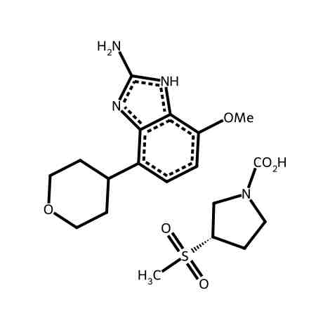 COc1ccc(C2CCOCC2)c2nc(N)[nH]c12.CS(=O)(=O)[C@H]1CCN(C(=O)O)C1